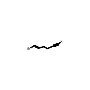 CCC=CCCC#[C][K]